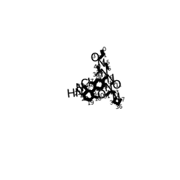 C=CC(=O)N1CCN(c2nc(=O)n3c4c(c(-c5c(C)ccc6[nH]ncc56)c(Cl)cc24)OCC3CN2CCC2)[C@@H](C)C1